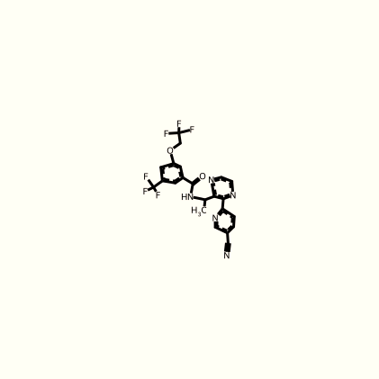 CC(NC(=O)c1cc(OCC(F)(F)F)cc(C(F)(F)F)c1)c1nccnc1-c1ccc(C#N)cn1